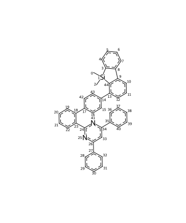 C[Si]1(C)c2ccccc2-c2cccc(-c3ccc(-c4ccccc4-c4nc(-c5ccccc5)cc(-c5ccccc5)n4)cc3)c21